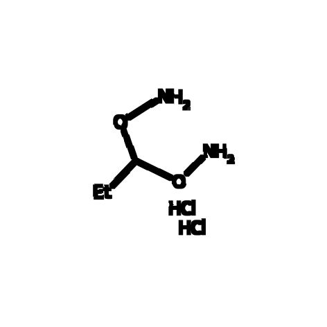 CCC(ON)ON.Cl.Cl